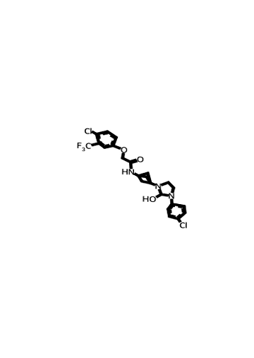 O=C(COc1ccc(Cl)c(C(F)(F)F)c1)NC12CC(N3CCN(c4ccc(Cl)cc4)C3O)(C1)C2